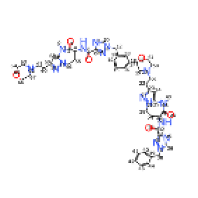 CN1C(=O)[C@@H](NC(=O)c2ncn(Cc3cccc(C4CN(CCc5cc6n(n5)CC[C@@H](NC(=O)c5ncn(Cc7ccccc7)n5)C(=O)N6C)CCO4)c3)n2)CCn2nc(CCN3CCOCC3)cc21